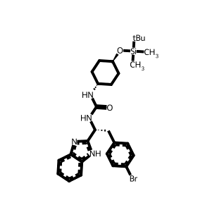 CC(C)(C)[Si](C)(C)O[C@H]1CC[C@H](NC(=O)N[C@H](Cc2ccc(Br)cc2)c2nc3ccccc3[nH]2)CC1